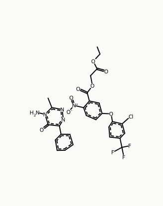 CCOC(=O)COC(=O)c1cc(Oc2ccc(C(F)(F)F)cc2Cl)ccc1[N+](=O)[O-].Cc1nnc(-c2ccccc2)c(=O)n1N